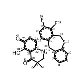 CC1(C)CN([C@H]2c3ccccc3SCc3c2ccc(F)c3F)n2ccc(=O)c(O)c2C1=O